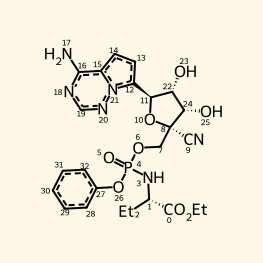 CCOC(=O)[C@H](CC)NP(=O)(OC[C@@]1(C#N)O[C@@H](c2ccc3c(N)ncnn23)[C@H](O)[C@@H]1O)Oc1ccccc1